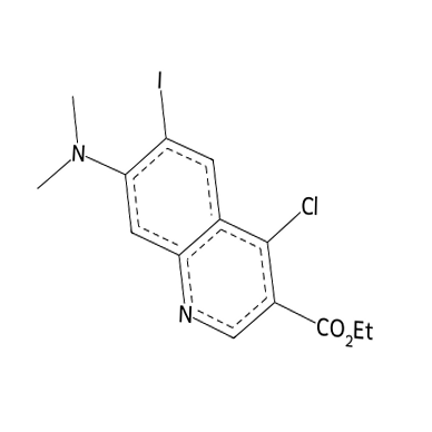 CCOC(=O)c1cnc2cc(N(C)C)c(I)cc2c1Cl